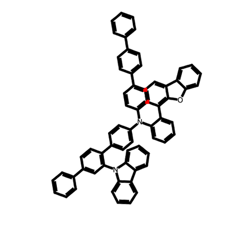 c1ccc(-c2ccc(-c3ccc(N(c4ccc(-c5ccc(-c6ccccc6)cc5-n5c6ccccc6c6ccccc65)cc4)c4ccccc4-c4cccc5c4oc4ccccc45)cc3)cc2)cc1